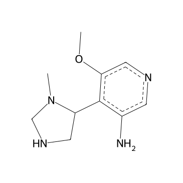 COc1cncc(N)c1C1CNCN1C